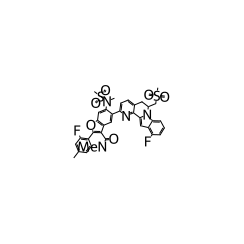 CNC(=O)c1c(-c2ccc(C)cc2F)oc2cc(N(C)S(C)(=O)=O)c(-c3ccc4c(n3)-c3cc5c(F)cccc5n3C(CS(C)(=O)=O)C4)cc12